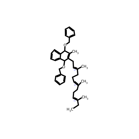 CC/C(C)=C/CC/C(C)=C/CC/C(C)=C/CC1=C(C)C(OCc2ccccc2)c2ccccc2C1OCc1ccccc1